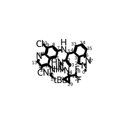 Cn1cc2c([C@H](Nc3cc(Cl)c4ncc(C#N)c(NCC(C)(C)C)c4c3)C3=CN(C4(C(F)F)CC4)NN3)cccc2n1